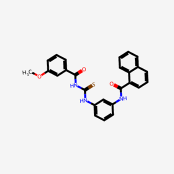 COc1cccc(C(=O)NC(=S)Nc2cccc(NC(=O)c3cccc4ccccc34)c2)c1